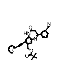 CC(C)(C)C(=O)OCc1cc2c(cc1C#Cc1ccccc1)NC(=O)CC(c1cccc(C#N)c1)=N2